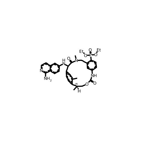 CCOP(=O)(OCC)c1ccc2cc1CN(C)C(=O)C(Nc1ccc3c(N)nccc3c1)c1ccc(c(C)c1)[C@@H](C)COC(=O)N2